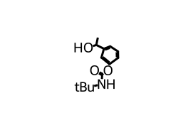 CC(O)c1cccc(OC(=O)NC(C)(C)C)c1